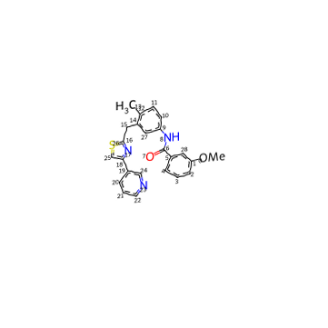 COc1cccc(C(=O)Nc2ccc(C)c(Cc3nc(-c4cccnc4)cs3)c2)c1